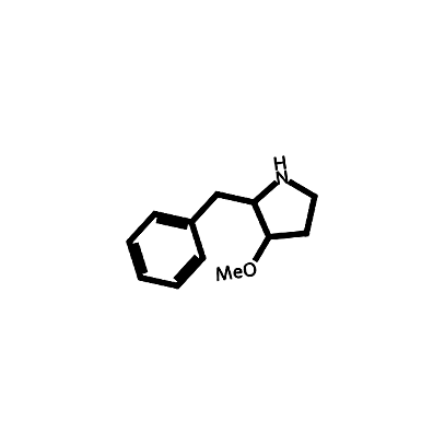 COC1CCNC1Cc1ccccc1